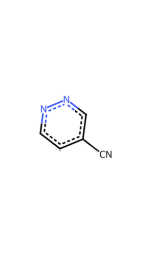 N#Cc1[c]cnnc1